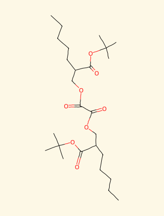 CCCCCC(COC(=O)C(=O)OCC(CCCCC)C(=O)OC(C)(C)C)C(=O)OC(C)(C)C